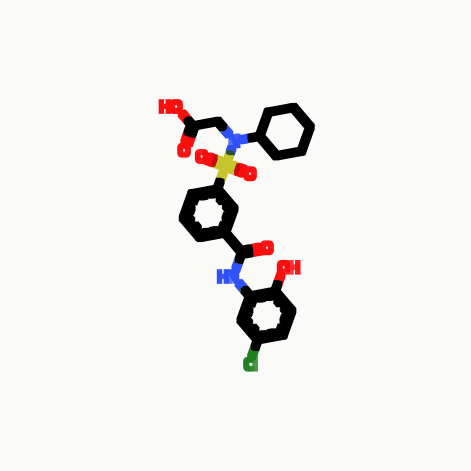 O=C(O)CN(C1CCCCC1)S(=O)(=O)c1cccc(C(=O)Nc2cc(Cl)ccc2O)c1